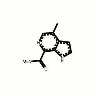 CNC(=O)c1ncc(C)c2cc[nH]c12